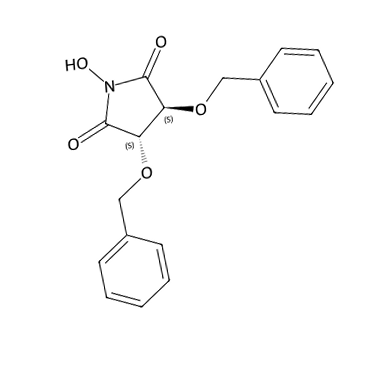 O=C1[C@@H](OCc2ccccc2)[C@H](OCc2ccccc2)C(=O)N1O